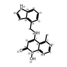 Cc1ncnc2c1c(NCc1cccc3[nH]ccc13)cc(=O)n2O